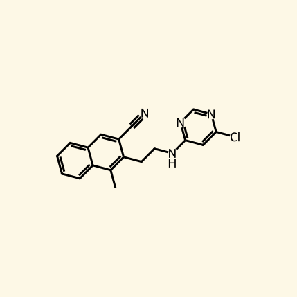 Cc1c(CCNc2cc(Cl)ncn2)c(C#N)cc2ccccc12